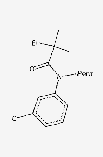 CCCC(C)N(C(=O)C(C)(C)CC)c1cccc(Cl)c1